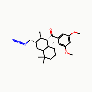 COc1cc(OC)cc(C(=O)[C@H]2[C@H](C)[C@@H](CN=[N+]=[N-])CC3C(C)(C)CCC[C@@]32C)c1